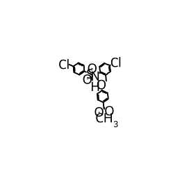 COC(=O)c1ccc(OCc2cc(Cl)ccc2NS(=O)(=O)c2ccc(Cl)cc2)cc1